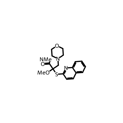 CNC(=O)C(CN1CCOCC1)(OC)Sc1ccc2ccccc2n1